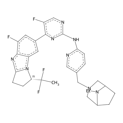 CCN1C2CCC1CN(Cc1ccc(Nc3ncc(F)c(-c4cc(F)c5nc6n(c5c4)[C@H](C(C)(F)F)CC6)n3)nc1)C2